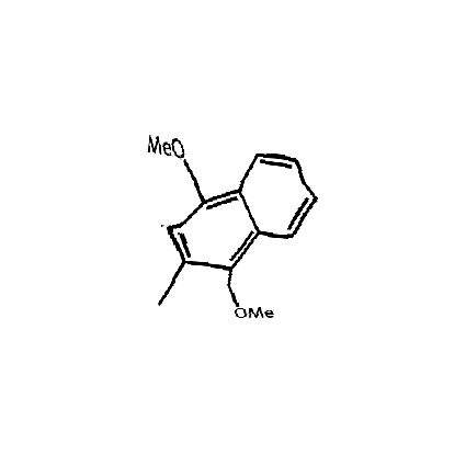 COc1[c]c(C)c(OC)c2ccccc12